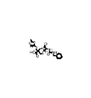 Cc1nnc(SCC2(C(=O)O)CS[C@@H]3C(NC(=O)NCc4ccccc4)C(=O)N3C2)s1